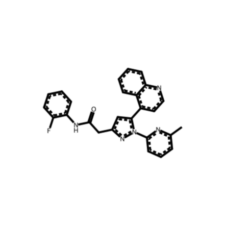 Cc1cccc(-n2nc(CC(=O)Nc3ccccc3F)cc2-c2ccnc3ccccc23)n1